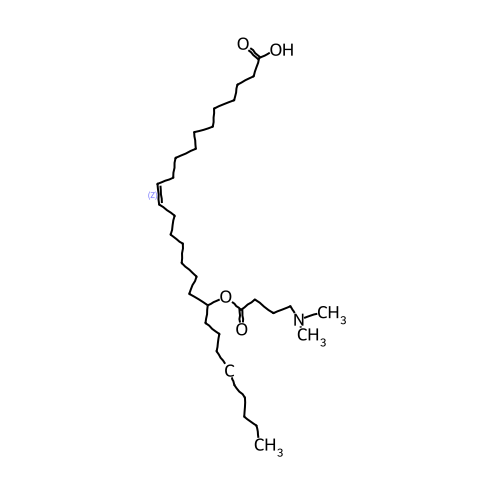 CCCCCCCCCC(CCCCCC/C=C\CCCCCCCCCC(=O)O)OC(=O)CCCN(C)C